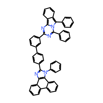 c1ccc(-c2nc(-c3cccc(-c4ccc(-c5nc6c7ccccc7c7ccccc7c6n5-c5ccccc5)cc4)c3)nc3c4ccccc4c(-c4ccccc4)n23)cc1